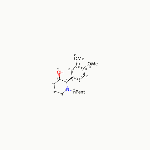 CCCCCN1CCC[C@@H](O)[C@H]1c1ccc(OC)c(OC)c1